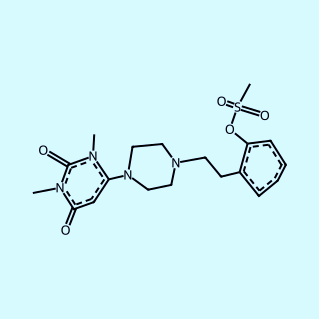 Cn1c(N2CCN(CCc3ccccc3OS(C)(=O)=O)CC2)cc(=O)n(C)c1=O